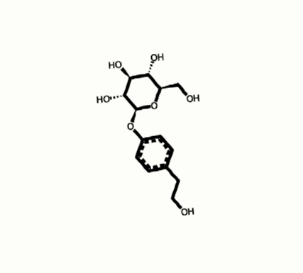 OCCc1ccc(O[C@@H]2O[C@H](CO)[C@@H](O)[C@H](O)[C@H]2O)cc1